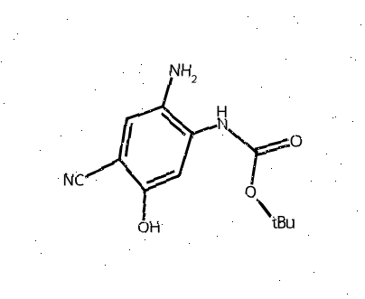 CC(C)(C)OC(=O)Nc1cc(O)c(C#N)cc1N